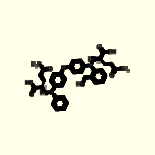 NC(=O)CC[C@H](NB(c1ccccc1)c1ccc(Oc2ccc(B(N[C@@H](CCC(N)=O)C(=O)O)c3ccccc3CO)cc2)cc1)C(=O)O